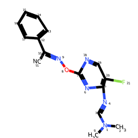 CN(C)/C=N/c1nc(O/N=C(\C#N)c2ccccc2)ncc1F